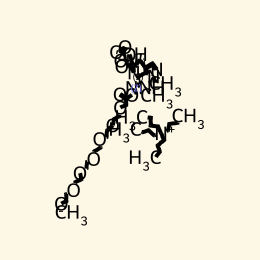 CCCC[N+](CCCC)(CCCC)CCCC.CN/C(=N\OC(=O)COCCOCCOCCOCCOCCOCCOC)[C@@H]1c2c(cnn2C)[C@@H]2CN1C(=O)N2OS(=O)(=O)[O-]